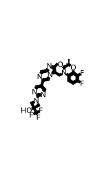 Cc1nc2cnc(-c3cnc(N4CC(O)(C(F)(F)F)C4)nc3)cn2c1CN1C(=O)[C@@H](C)Oc2c1ccc(F)c2F